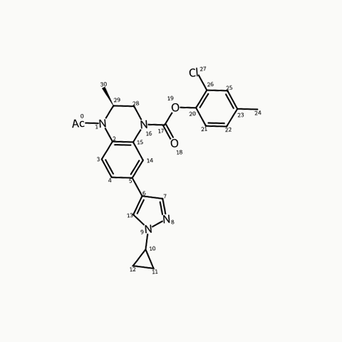 CC(=O)N1c2ccc(-c3cnn(C4CC4)c3)cc2N(C(=O)Oc2ccc(C)cc2Cl)C[C@@H]1C